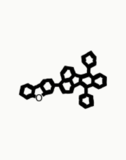 c1ccc(-c2c3c(c(-c4ccccc4)c4ccccc24)-c2ccc(-c4ccc5c(c4)oc4ccccc45)c4cccc-3c24)cc1